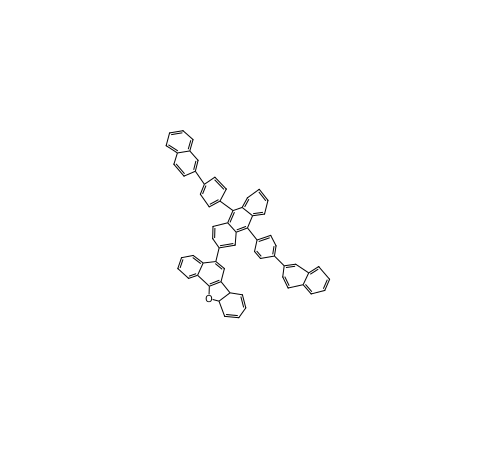 C1=CC2Oc3c(cc(-c4ccc5c(-c6ccc(-c7ccc8ccccc8c7)cc6)c6ccccc6c(-c6ccc(-c7ccc8ccccc8c7)cc6)c5c4)c4ccccc34)C2C=C1